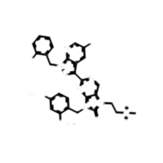 COc1ccc(Cn2c(=O)n(CCS(C)(=O)=O)c3cnc(-c4nn(Cc5ccccc5F)c5ncc(F)cc45)nc32)c(OC)c1